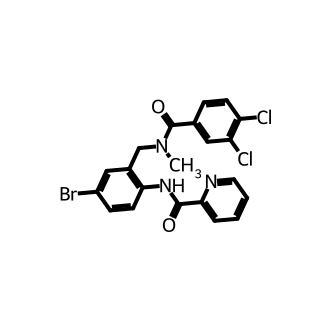 CN(Cc1cc(Br)ccc1NC(=O)c1ccccn1)C(=O)c1ccc(Cl)c(Cl)c1